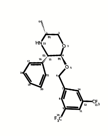 C[C@@H]1CO[C@@H](OCc2cc(C(F)(F)F)cc(C(F)(F)F)c2)[C@H](c2ccccc2)N1